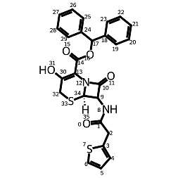 O=C(Cc1cccs1)NC1C(=O)N2C(C(=O)OC(c3ccccc3)c3ccccc3)=C(O)CS[C@H]12